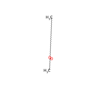 CCCCCCCCCCCCCCCCCCCCCCCCCCCCCCCCCCCCCCOC(=O)CCCCCCCCCCC